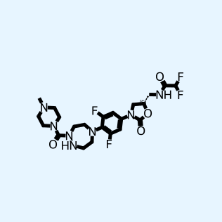 CN1CCN(C(=O)N2CCN(c3c(F)cc(N4C[C@H](CNC(=O)C(F)F)OC4=O)cc3F)CCN2)CC1